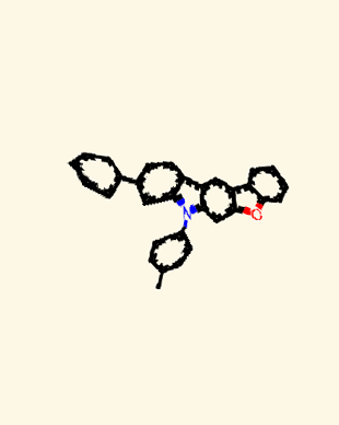 Cc1ccc(-n2c3cc(-c4ccccc4)ccc3c3cc4c(cc32)oc2ccccc24)cc1